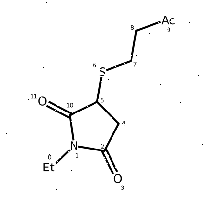 CCN1C(=O)CC(SCCC(C)=O)C1=O